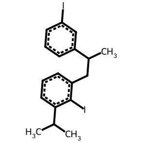 CC(C)c1cccc(CC(C)c2cccc(I)c2)c1I